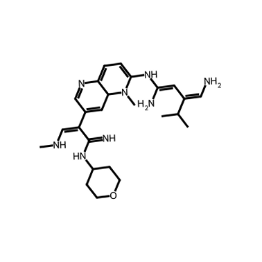 CN/C=C(\C(=N)NC1CCOCC1)C1=CC2C(=CC=C(N/C(N)=C/C(=C\N)C(C)C)N2C)N=C1